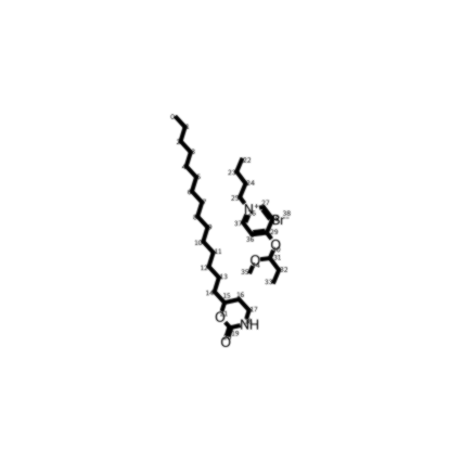 CCCCCCCCCCCCCCCC1CCNC(=O)O1.CCCC[n+]1ccc(OC(CC)OC)cc1.[Br-]